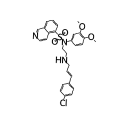 COc1ccc(N(CCNCC=Cc2ccc(Cl)cc2)S(=O)(=O)c2cccc3cnccc23)cc1OC